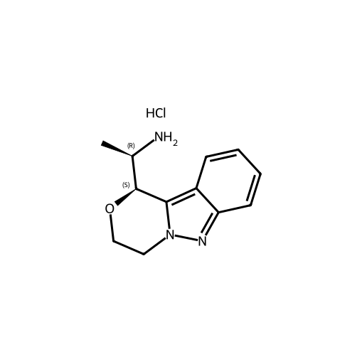 C[C@@H](N)[C@@H]1OCCn2nc3ccccc3c21.Cl